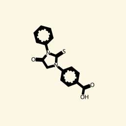 O=C(O)c1ccc(N2CC(=O)N(c3ccccc3)C2=S)cc1